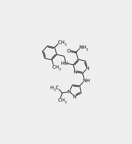 Cc1cccc(C)c1CNc1nc(Nc2cnn(C(C)C)c2)ncc1C(N)=O